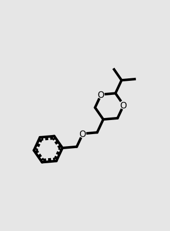 CC(C)C1OCC(COCc2ccccc2)CO1